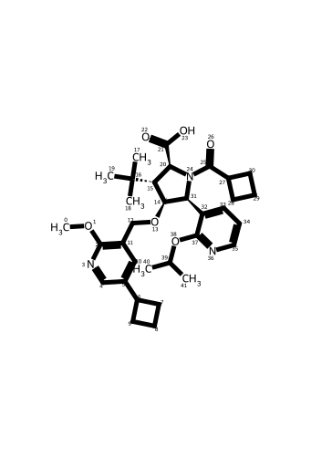 COc1ncc(C2CCC2)cc1CO[C@H]1[C@H](C(C)(C)C)[C@@H](C(=O)O)N(C(=O)C2CCC2)[C@H]1c1cccnc1OC(C)C